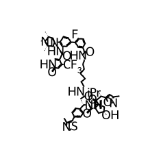 Cc1cc([C@H](C(=O)N2C[C@H](O)C[C@H]2C(=O)N[C@@H](CC(=O)NCCCCCCCNC(=O)c2ccc(F)c(-c3ccc(N4C[C@@H](C)N(C)[C@@H](C)C4)c(NC(=O)c4c[nH]c(=O)cc4C(F)(F)F)c3)c2)c2ccc(-c3scnc3C)cc2)C(C)C)on1